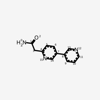 NC(=O)Cc1ccc(-c2cccnc2)cn1